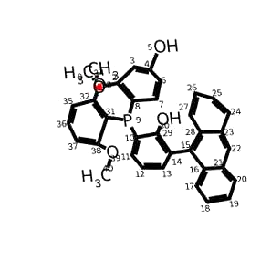 COc1cc(O)ccc1P(c1cccc(-c2c3ccccc3cc3ccccc23)c1O)c1c(OC)cccc1OC